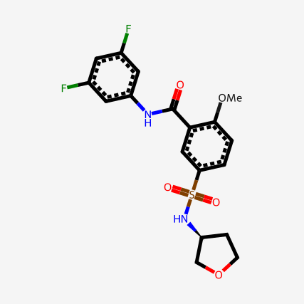 COc1ccc(S(=O)(=O)N[C@H]2CCOC2)cc1C(=O)Nc1cc(F)cc(F)c1